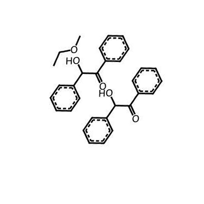 CCOC.O=C(c1ccccc1)C(O)c1ccccc1.O=C(c1ccccc1)C(O)c1ccccc1